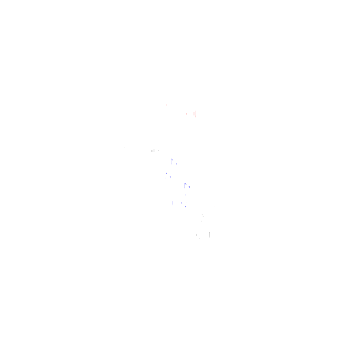 CC(=O)NN/N=N/c1ccccc1S(=O)(=O)O